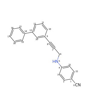 N#Cc1ccc(NCC#Cc2cccc(-c3ccccc3)c2)cc1